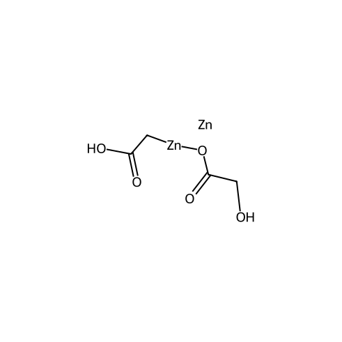 O=C(O)[CH2][Zn][O]C(=O)CO.[Zn]